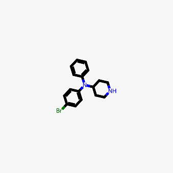 Brc1ccc(N(c2ccccc2)C2CCNCC2)cc1